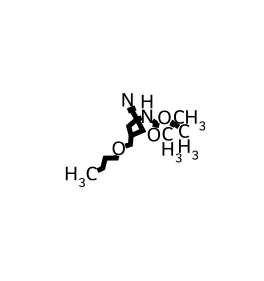 CCCCOCC1CC(C#N)(NC(=O)OC(C)(C)C)C1